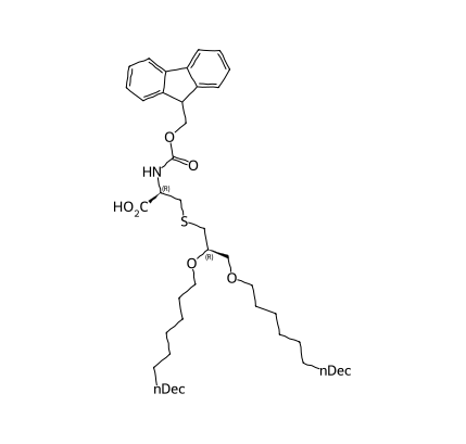 CCCCCCCCCCCCCCCCOC[C@H](CSC[C@H](NC(=O)OCC1c2ccccc2-c2ccccc21)C(=O)O)OCCCCCCCCCCCCCCCC